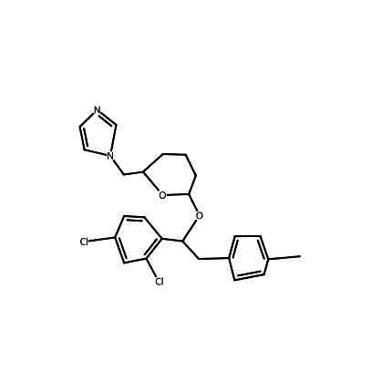 Cc1ccc(CC(OC2CCCC(Cn3ccnc3)O2)c2ccc(Cl)cc2Cl)cc1